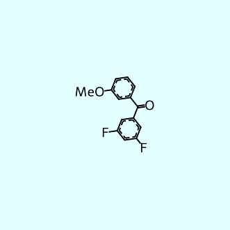 COc1cccc(C(=O)c2cc(F)cc(F)c2)c1